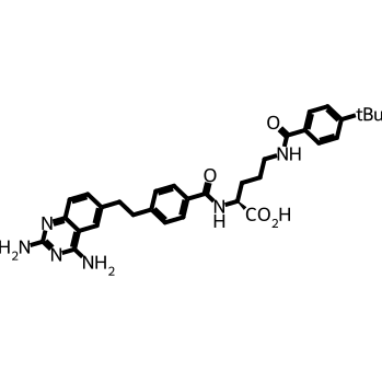 CC(C)(C)c1ccc(C(=O)NCCC[C@H](NC(=O)c2ccc(CCc3ccc4nc(N)nc(N)c4c3)cc2)C(=O)O)cc1